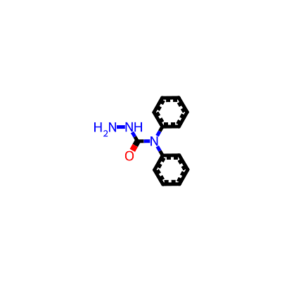 NNC(=O)N(c1ccccc1)c1ccccc1